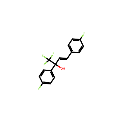 OC(C=Cc1ccc(F)cc1)(c1ccc(F)cc1)C(F)(F)F